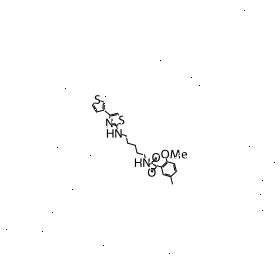 COc1ccc(C)cc1S(=O)(=O)NCCCCCNc1nc(-c2ccsc2)cs1